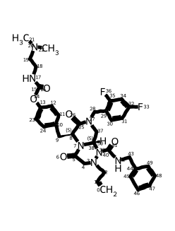 C=CCN1CC(=O)N2[C@@H](Cc3ccc(OC(=O)NCCN(C)C)cc3)C(=O)N(Cc3ccc(F)cc3F)C[C@@H]2N1C(=O)NCc1ccccc1